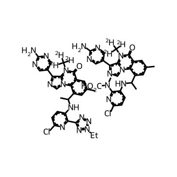 [2H]C([2H])([2H])n1c(=O)c2cc(C)cc(C(C)Nc3ccc(Cl)nc3-c3nnn(CC)n3)c2n2cnc(-c3cnc(N)nc3)c12.[2H]C([2H])([2H])n1c(=O)c2cc(C)cc(C(C)Nc3ccc(Cl)nc3N(C)C(=O)O)c2n2cnc(-c3cnc(N)nc3)c12